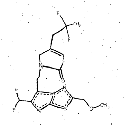 COCc1nn2c(CN3CC(CC(C)(F)F)=CC3=O)c(C(F)F)nc2s1